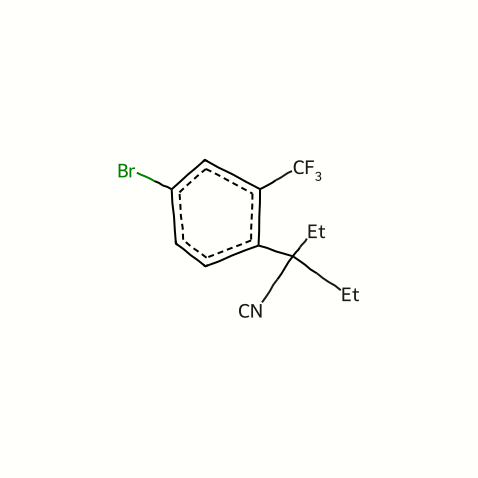 [C-]#[N+]C(CC)(CC)c1ccc(Br)cc1C(F)(F)F